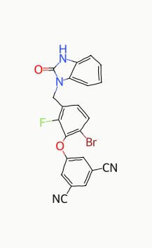 N#Cc1cc(C#N)cc(Oc2c(Br)ccc(Cn3c(=O)[nH]c4ccccc43)c2F)c1